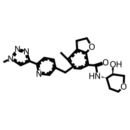 Cc1c(Cc2ccc(-c3cn(C)nn3)nc2)cc(C(=O)N[C@H]2CCOC[C@@H]2O)c2c1CCO2